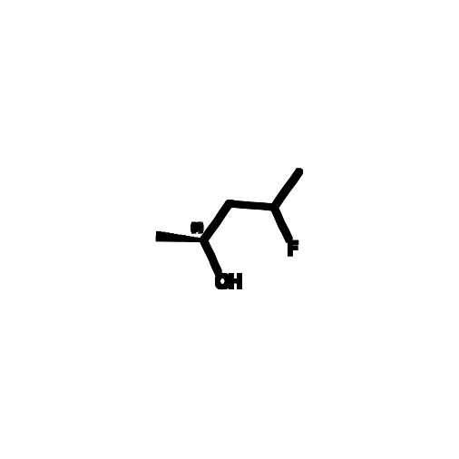 CC(F)C[C@@H](C)O